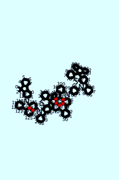 CC1(C)c2ccccc2-c2ccc(N(c3ccc(-n4c5ccccc5c5ccc6c(c54)Sc4ccccc4C64c5ccccc5-c5cc(-c6ccccc6-c6ccc(N(c7ccc(-n8c9ccccc9c9ccc%10c(c98)Sc8ccccc8C%108c9ccccc9-c9ccccc98)cc7)c7ccccc7-c7ccccc7)cc6)ccc54)cc3)c3ccccc3-c3ccccc3)cc21